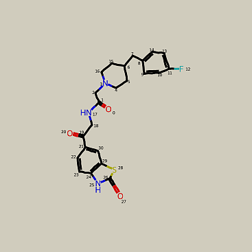 O=C(CN1CCC(Cc2ccc(F)cc2)CC1)NCC(=O)c1ccc2[nH]c(=O)sc2c1